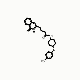 N#Cc1ccc(O[C@H]2CC[C@H](NC(=O)CCCc3nc4ccccc4c(=O)[nH]3)CC2)cc1